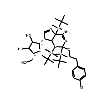 CC(C)(C)[Si](C)(C)N1C2N([C@@H]3O[C@H](CO)C(O)C3O)C=NC2([Si](C)(C)C(C)(C)C)C(N)=NC1(OCCc1ccc(Cl)cc1)[Si](C)(C)C(C)(C)C